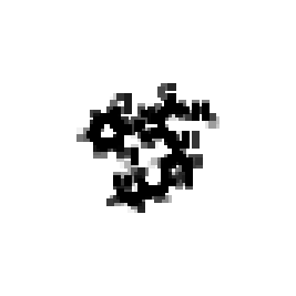 NC(=O)c1nn(-c2c(Cl)cccc2Cl)nc1Nc1cnn(Cc2ccon2)c1